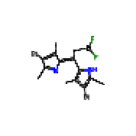 CCC1=C(C)C(=C(CB(F)F)c2[nH]c(C)c(CC)c2C)N=C1C